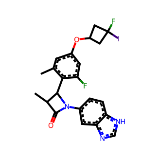 Cc1cc(OC2CC(F)(I)C2)cc(F)c1C1C(C)C(=O)N1c1ccc2[nH]cnc2c1